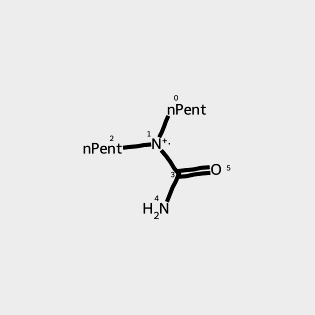 CCCCC[N+](CCCCC)C(N)=O